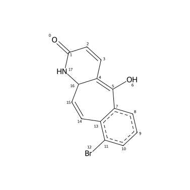 O=C1C=CC2=C(O)c3cccc(Br)c3C=CC2N1